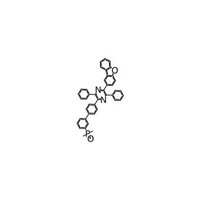 CP(C)(=O)c1cccc(-c2ccc(-c3nc(-c4ccccc4)c(-c4ccc5oc6ccccc6c5c4)nc3-c3ccccc3)cc2)c1